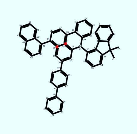 CC1(C)c2ccccc2-c2c(N(c3cccc(-c4ccc(-c5ccccc5)cc4)c3)c3ccccc3-c3ccc(-c4cccc5ccccc45)cc3)cccc21